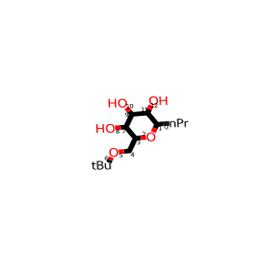 CCCC1OC(COC(C)(C)C)C(O)C(O)C1O